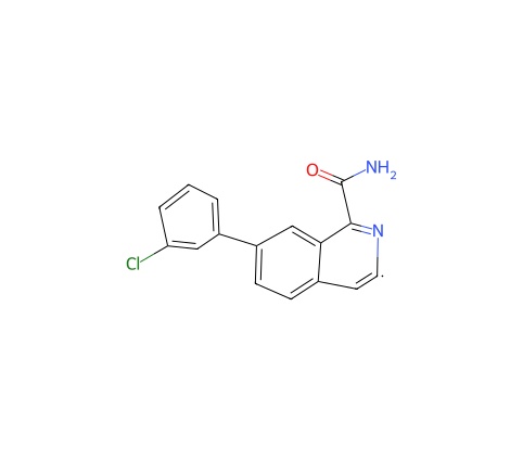 NC(=O)c1n[c]cc2ccc(-c3cccc(Cl)c3)cc12